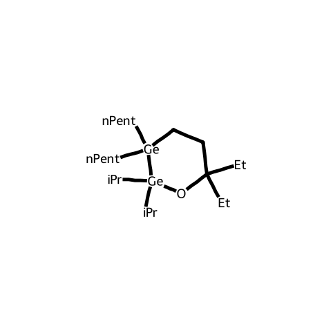 CCCC[CH2][Ge]1([CH2]CCCC)[CH2]CC(CC)(CC)[O][Ge]1([CH](C)C)[CH](C)C